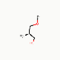 CCOC[C@H](C)CO